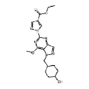 CCOC(=O)c1cnn(-c2nc(OC)c3c(cnn3CC3CCC(O)CC3)n2)c1